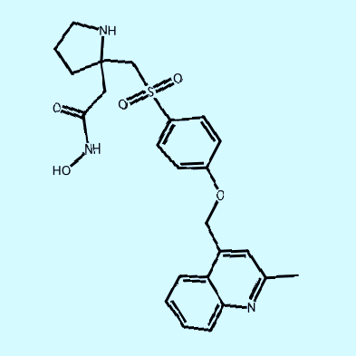 Cc1cc(COc2ccc(S(=O)(=O)CC3(CC(=O)NO)CCCN3)cc2)c2ccccc2n1